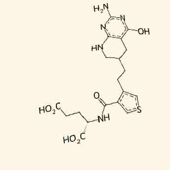 Nc1nc(O)c2c(n1)NCC(CCc1cscc1C(=O)N[C@@H](CCC(=O)O)C(=O)O)C2